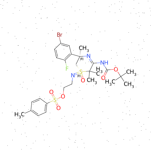 Cc1ccc(S(=O)(=O)OCCN=[S@@]2(=O)C[C@@](C)(c3cc(Br)ccc3F)N=C(NC(=O)OC(C)(C)C)C2(C)C)cc1